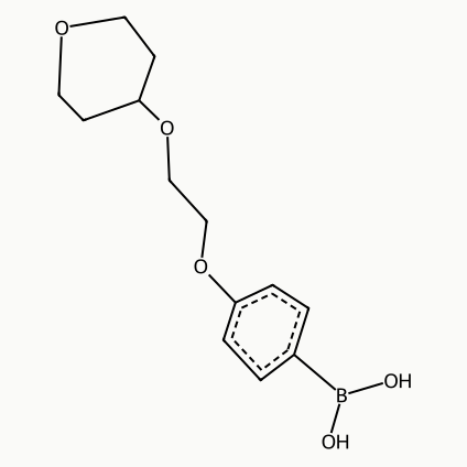 OB(O)c1ccc(OCCOC2CCOCC2)cc1